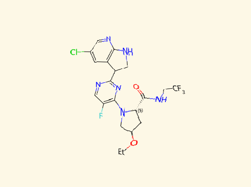 CCOC1C[C@@H](C(=O)NCC(F)(F)F)N(c2nc(C3CNc4ncc(Cl)cc43)ncc2F)C1